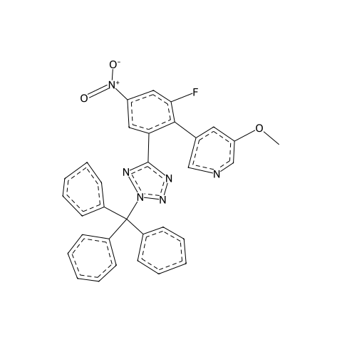 COc1cncc(-c2c(F)cc([N+](=O)[O-])cc2-c2nnn(C(c3ccccc3)(c3ccccc3)c3ccccc3)n2)c1